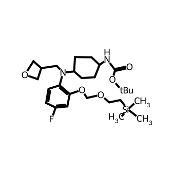 CC(C)(C)OC(=O)NC1CCC(N(CC2COC2)c2ccc(F)cc2OCOCC[Si](C)(C)C)CC1